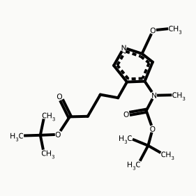 COc1cc(N(C)C(=O)OC(C)(C)C)c(CCCC(=O)OC(C)(C)C)cn1